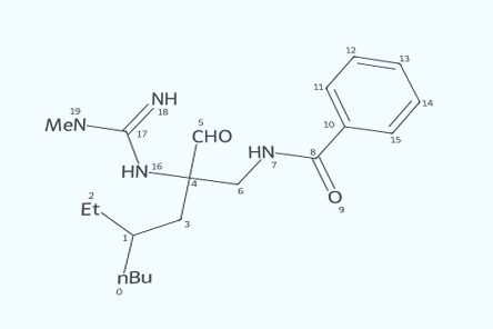 CCCCC(CC)CC(C=O)(CNC(=O)c1ccccc1)NC(=N)NC